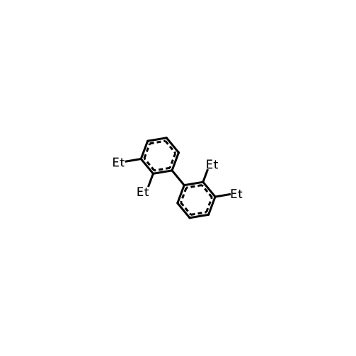 CCc1cccc(-c2cccc(CC)c2CC)c1CC